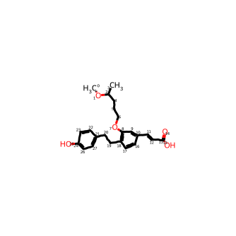 COC(C)CCCOc1cc(C=CC(=O)O)ccc1CCc1ccc(O)cc1